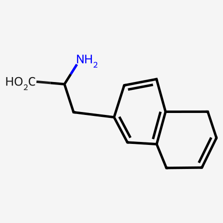 NC(Cc1ccc2c(c1)CC=CC2)C(=O)O